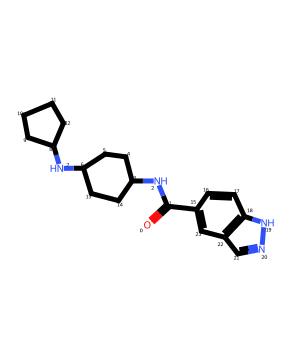 O=C(NC1CCC(NC2CCCC2)CC1)c1ccc2[nH]ncc2c1